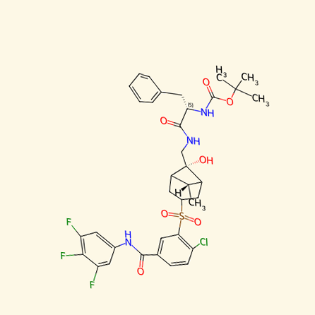 CC(C)(C)OC(=O)N[C@@H](Cc1ccccc1)C(=O)NC[C@]1(O)C2CC(S(=O)(=O)c3cc(C(=O)Nc4cc(F)c(F)c(F)c4)ccc3Cl)CC1[C@@H]2C